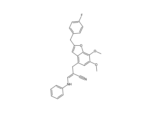 COc1cc(C/C(C#N)=C/Nc2ccccc2)c2cc(Cc3ccc(F)cc3)oc2c1OC